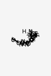 COCCCOc1cnc(-c2cc(-c3ccc(F)c([C@]4(C)C[C@@H](C(F)(F)F)OC(N)=N4)c3)on2)cn1